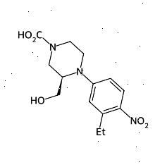 CCc1cc(N2CCN(C(=O)O)C[C@@H]2CO)ccc1[N+](=O)[O-]